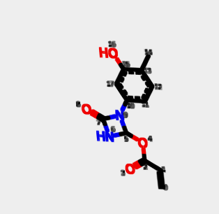 C=CC(=O)OC1NC(=O)N1c1ccc(C)c(O)c1